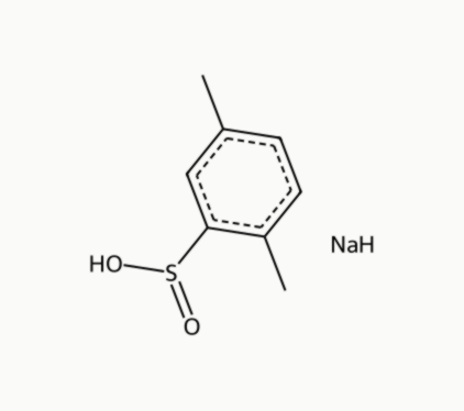 Cc1ccc(C)c(S(=O)O)c1.[NaH]